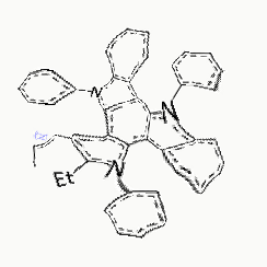 C/C=C\c1c(CC)n(-c2ccccc2)c2c1c1c(c3ccccc3n1-c1ccccc1)c1c2c2ccccc2n1-c1ccccc1